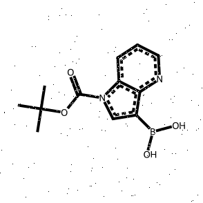 CC(C)(C)OC(=O)n1cc(B(O)O)c2ncccc21